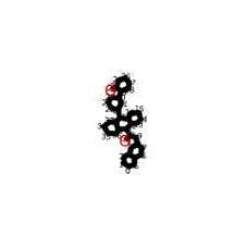 c1ccc2c(c1)ccc1cc(-c3c4ccccc4c(-c4ccc5oc6ccccc6c5c4)c4ccccc34)oc12